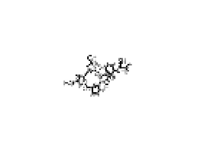 CC(C)C(S)Nc1ccc(C[C@H]2CN(CC(=O)O)CCN(CC(=O)O)Cc3cccc(n3)CN2CC(=O)O)cc1